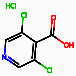 Cl.O=C(O)c1c(Cl)cncc1Cl